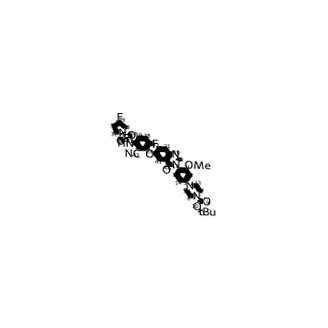 COc1cc(N2CCN(C(=O)OC(C)(C)C)CC2)ccc1-n1cnc2ccc(Oc3c(F)ccc(NS(=O)(=O)N4CC[C@@H](F)C4)c3C#N)cc2c1=O